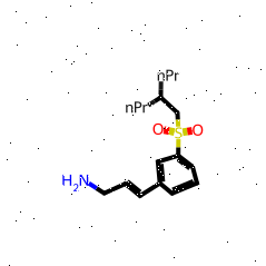 CCCC(CCC)CS(=O)(=O)c1cccc(C=CCN)c1